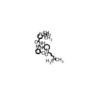 CN(C)CC=CC(=O)N1CCCC[C@@H](n2c(NC(=O)c3ccnc(P(C)(C)=O)c3)nc3cccc(Cl)c32)C1